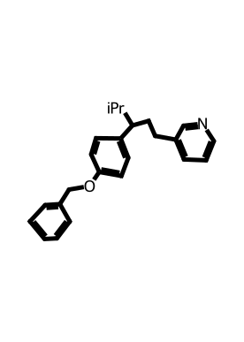 CC(C)[C](CCc1cccnc1)c1ccc(OCc2ccccc2)cc1